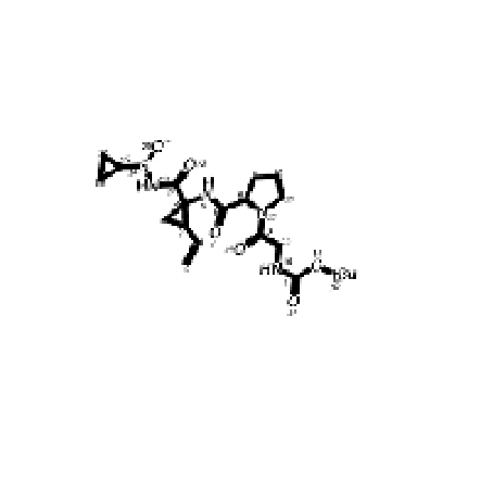 C=CC1CC1(NC(=O)C1CCCN1C(=O)CNC(=O)OC(C)(C)C)C(=O)N[S+]([O-])C1CC1